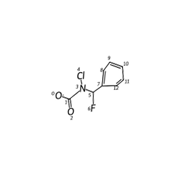 [O]C(=O)N(Cl)C(F)c1ccccc1